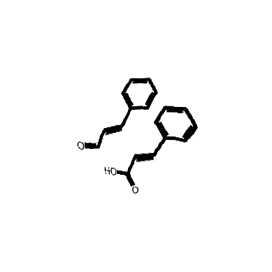 O=C(O)C=Cc1ccccc1.O=CC=Cc1ccccc1